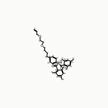 C=CCOCCOCCCCc1ccc(P(=O)(C(=O)c2c(C)cc(C)cc2C)C(=O)c2c(C)cc(C)cc2C)cc1